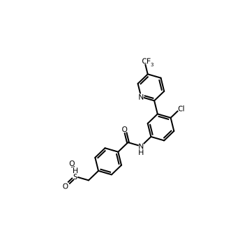 O=C(Nc1ccc(Cl)c(-c2ccc(C(F)(F)F)cn2)c1)c1ccc(C[SH](=O)=O)cc1